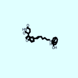 O=C1CCC(c2coc3ccc(C#CCCCCCNC45CC6CC(CC(O)(C6)C4)C5)cc23)C(=O)N1